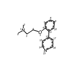 CN(C)CCOc1ccccc1-c1ccncc1